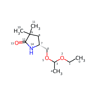 CCOC(C)OC[C@H]1CC(C)(C)C(=O)N1